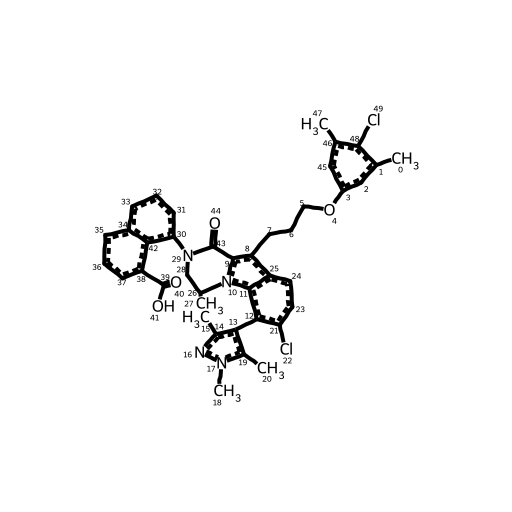 Cc1cc(OCCCc2c3n(c4c(-c5c(C)nn(C)c5C)c(Cl)ccc24)C(C)CN(c2cccc4cccc(C(=O)O)c24)C3=O)cc(C)c1Cl